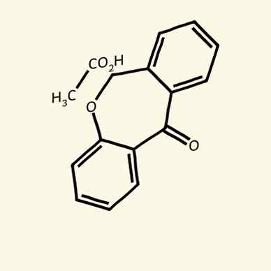 CC(=O)O.O=C1c2ccccc2COc2ccccc21